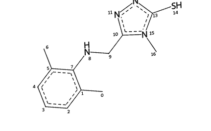 Cc1cccc(C)c1NCc1nnc(S)n1C